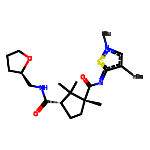 CCCCc1cn(C(C)(C)C)s/c1=N\C(=O)[C@]1(C)CC[C@H](C(=O)NC[C@H]2CCCO2)C1(C)C